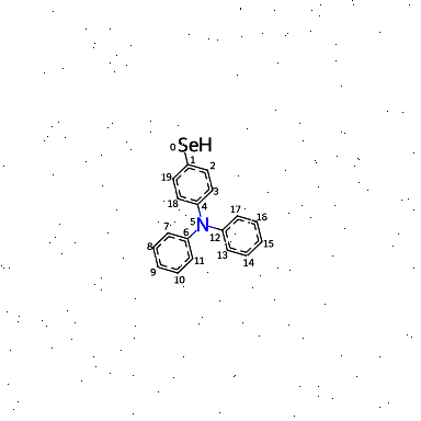 [SeH]c1ccc(N(c2ccccc2)c2ccccc2)cc1